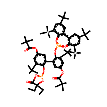 CCC1(CC)OP(Oc2c(-c3cc(OC(=O)C(C)(C)C)cc(C(C)(C)C)c3Op3oc4c([Si](C)(C)C)cc(C(C)(C)C)cc4c4cc(C(C)(C)C)cc([Si](C)(C)C)c4o3)cc(OC(=O)C(C)(C)C)cc2C(C)(C)C)OC1=O